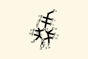 FCC(F)(F)C(F)(F)N1C(F)(F)C(F)(F)N(C(F)(F)F)C(F)(F)C1(F)F